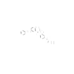 COC(=O)c1cccc(OC2COc3ccc(OCc4ccccc4)cc3C2=O)c1